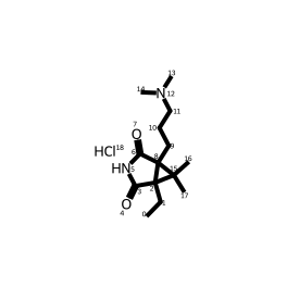 CCC12C(=O)NC(=O)C1(CCCN(C)C)C2(C)C.Cl